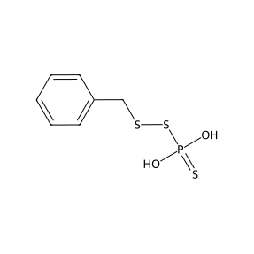 OP(O)(=S)SSCc1ccccc1